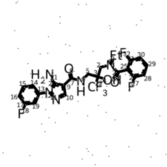 CCN(CC(O)(CNC(=O)c1cnn(-c2cccc(F)c2)c1N)C(F)(F)F)C(=O)c1c(F)cccc1F